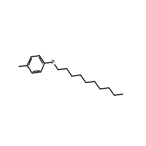 CCCCCCCCCC[P]c1ccc(C)cc1